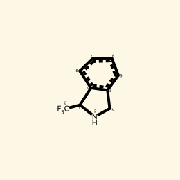 FC(F)(F)C1NCc2ccccc21